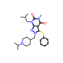 CC(C)Cn1c(=O)n(C)c(=O)c2c(Sc3ccccc3)n(CC3CCN(C(C)C)CC3)nc21